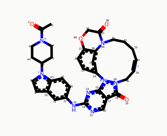 CC(=O)N1CCC(n2ccc3cc(Nc4ncc5c(=O)n6n(c5n4)-c4ccc5c(c4)N(CCC/C=C\C6)C(=O)CO5)ccc32)CC1